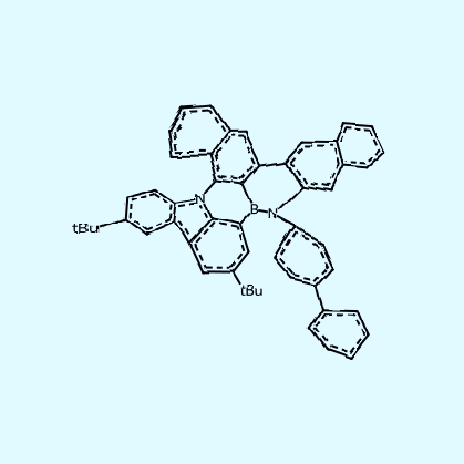 CC(C)(C)c1ccc2c(c1)c1cc(C(C)(C)C)cc3c1n2-c1c2c(cc4ccccc14)-c1cc4ccccc4cc1N(c1ccc(-c4ccccc4)cc1)B23